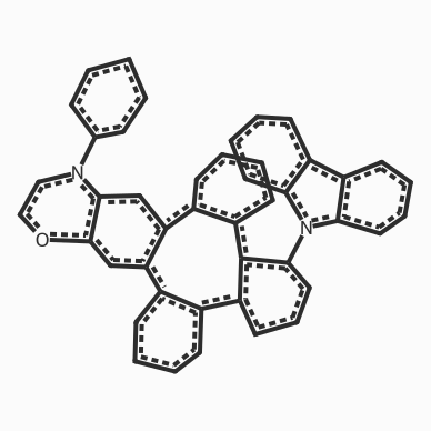 c1ccc(-n2ccoc3cc4c5ccccc5c5cccc(-n6c7ccccc7c7ccccc76)c5c5ccccc5c4cc32)cc1